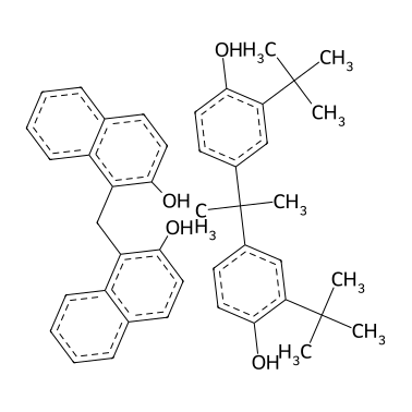 CC(C)(C)c1cc(C(C)(C)c2ccc(O)c(C(C)(C)C)c2)ccc1O.Oc1ccc2ccccc2c1Cc1c(O)ccc2ccccc12